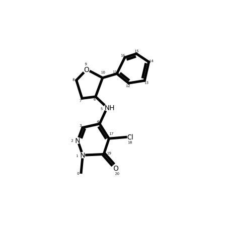 Cn1ncc(NC2CCOC2c2ccccc2)c(Cl)c1=O